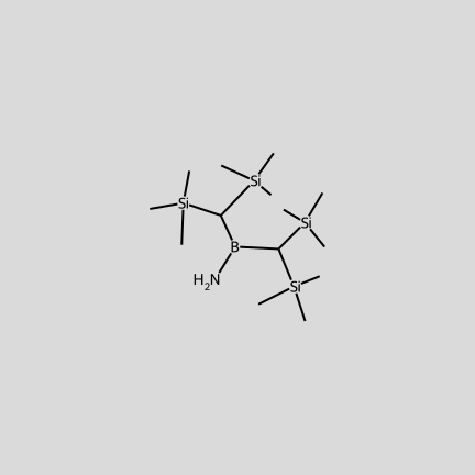 C[Si](C)(C)C(B(N)C([Si](C)(C)C)[Si](C)(C)C)[Si](C)(C)C